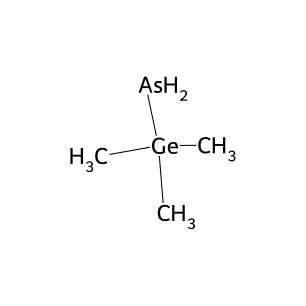 [CH3][Ge]([CH3])([CH3])[AsH2]